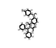 Cc1nc2ccc(N(C)c3ccc(F)cc3)cc2c(=O)n1C(c1ccccc1)c1ccccc1